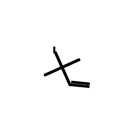 C=CC(C)(C)I